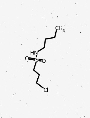 CCCCNS(=O)(=O)CCCCl